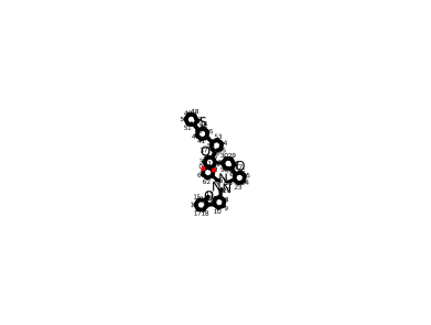 c1ccc(-c2nc(-c3cccc4c3oc3ccccc34)nc(-c3cccc4oc5ccc(-c6cccc7oc8c(-c9ccc%10c(c9)sc9ccccc9%10)cccc8c67)cc5c34)n2)cc1